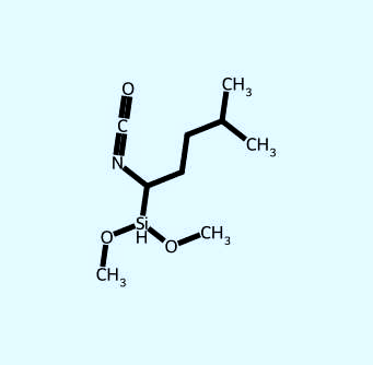 CO[SiH](OC)C(CCC(C)C)N=C=O